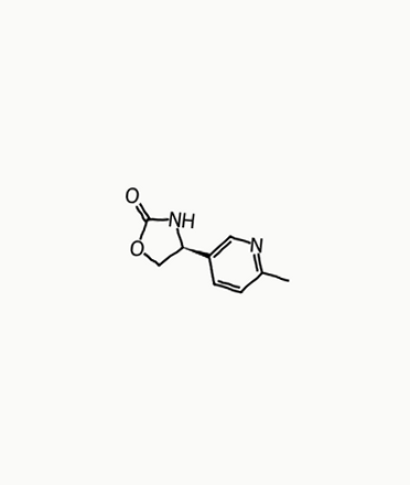 Cc1ccc([C@H]2COC(=O)N2)cn1